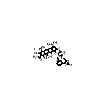 CC(CN(CC=O)C(=O)OCc1oc(=O)oc1-c1ccccc1)Nc1cc(N(C)C)c2c(c1O)C(=O)C1=C(O)[C@]3(O)C(=O)C(C(N)=O)=C(O)[C@H](N(C)C)C3CC1C2